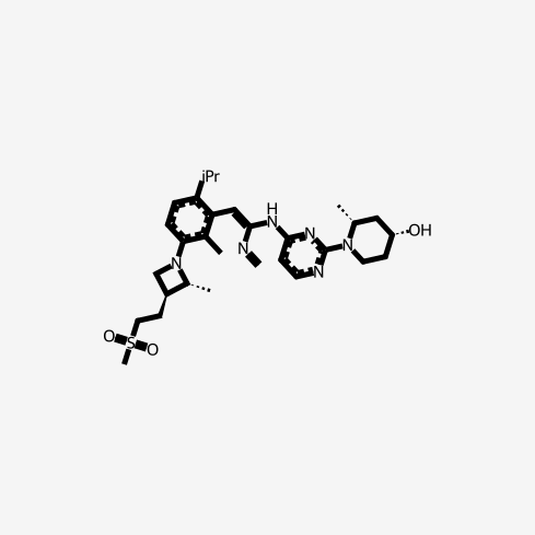 C=N/C(=C\c1c(C(C)C)ccc(N2C[C@H](CCS(C)(=O)=O)[C@H]2C)c1C)Nc1ccnc(N2CC[C@@H](O)C[C@H]2C)n1